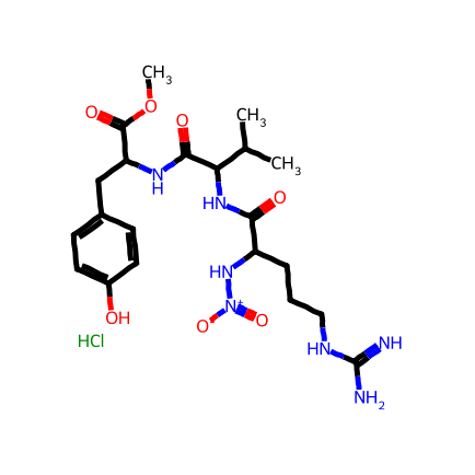 COC(=O)C(Cc1ccc(O)cc1)NC(=O)C(NC(=O)C(CCCNC(=N)N)N[N+](=O)[O-])C(C)C.Cl